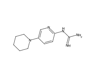 N=C(N)Nc1ccc(N2CCCCC2)cn1